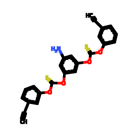 C#Cc1cccc(OC(=S)Oc2cc(N)cc(OC(=S)Oc3cccc(C#C)c3)c2)c1